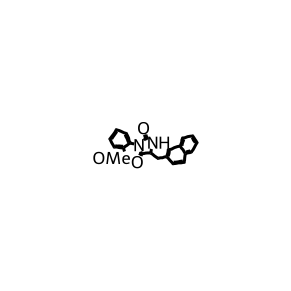 COc1ccccc1N1C(=O)NC(Cc2ccc3ccccc3c2)C1=O